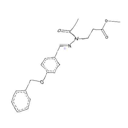 COC(=O)CCN(/N=C/c1ccc(OCc2ccccc2)cc1)C(C)=O